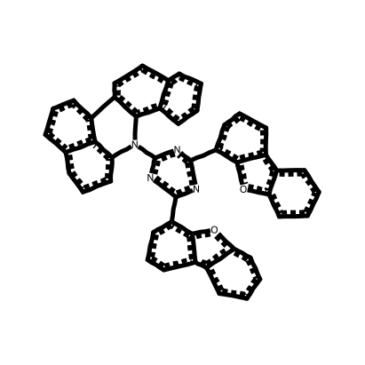 c1ccc2c3c(ccc2c1)-c1cccc2cccc(c12)N3c1nc(-c2cccc3c2oc2ccccc23)nc(-c2cccc3c2oc2ccccc23)n1